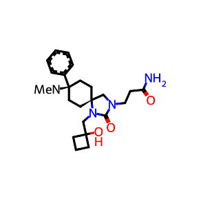 CN[C@]1(c2ccccc2)CC[C@@]2(CC1)CN(CCC(N)=O)C(=O)N2CC1(O)CCC1